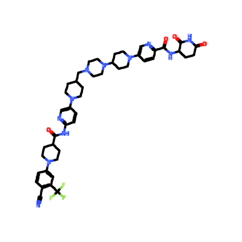 N#Cc1ccc(N2CCC(C(=O)Nc3ccc(N4CCC(CN5CCN(C6CCN(c7ccc(C(=O)NC8CCC(=O)NC8=O)nc7)CC6)CC5)CC4)cn3)CC2)cc1C(F)(F)F